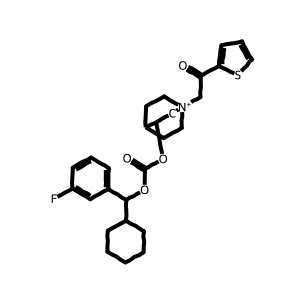 O=C(OC1C[N+]2(CC(=O)c3cccs3)CCC1CC2)OC(c1cccc(F)c1)C1CCCCC1